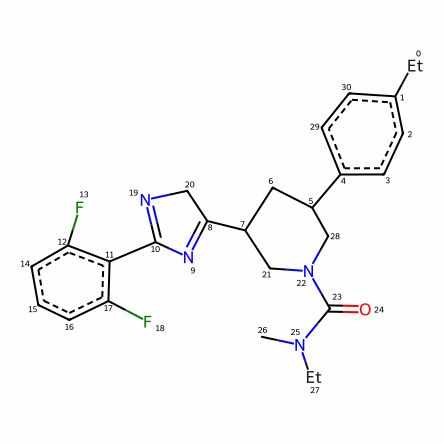 CCc1ccc(C2CC(C3=NC(c4c(F)cccc4F)=NC3)CN(C(=O)N(C)CC)C2)cc1